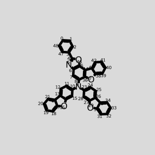 c1ccc(-c2nc3cc(N(c4ccc5c(c4)oc4ccccc45)c4ccc5c(c4)oc4ccccc45)c4oc5ccccc5c4c3o2)cc1